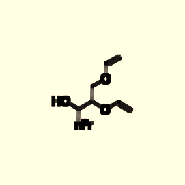 C=COCC(OC=C)C(O)CCC